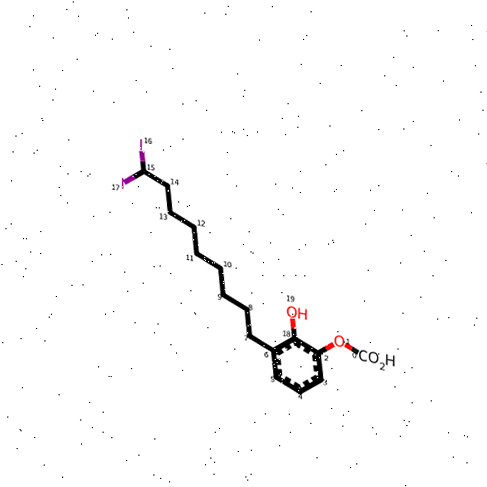 O=C(O)Oc1cccc(CCCCCCCCC(I)I)c1O